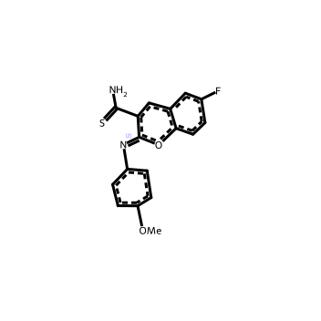 COc1ccc(/N=c2\oc3ccc(F)cc3cc2C(N)=S)cc1